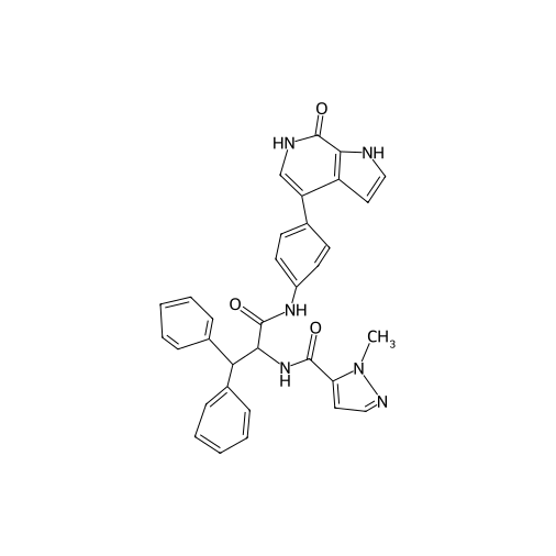 Cn1nccc1C(=O)NC(C(=O)Nc1ccc(-c2c[nH]c(=O)c3[nH]ccc23)cc1)C(c1ccccc1)c1ccccc1